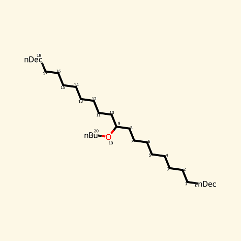 CCCCCCCCCCCCCCCCCCC(CCCCCCCCCCCCCCCCCC)OCCCC